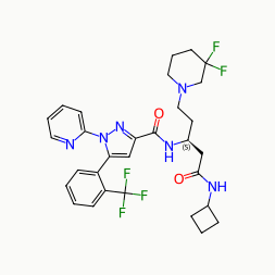 O=C(C[C@H](CCN1CCCC(F)(F)C1)NC(=O)c1cc(-c2ccccc2C(F)(F)F)n(-c2ccccn2)n1)NC1CCC1